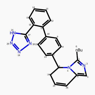 CCCCc1ncc2n1C(c1ccc(-c3ccccc3-c3nnn[nH]3)cc1)CC=C2